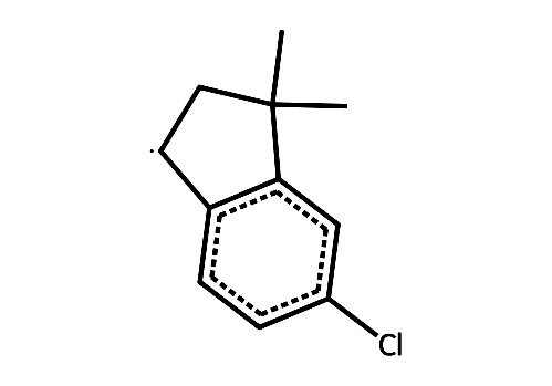 CC1(C)C[CH]c2ccc(Cl)cc21